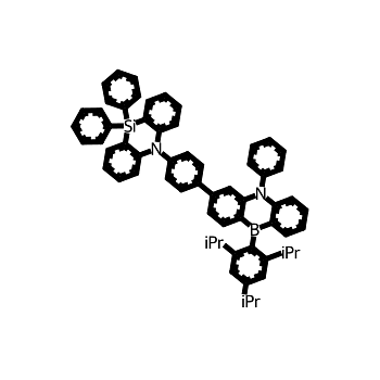 CC(C)c1cc(C(C)C)c(B2c3ccccc3N(c3ccccc3)c3cc(-c4ccc(N5c6ccccc6[Si](c6ccccc6)(c6ccccc6)c6ccccc65)cc4)ccc32)c(C(C)C)c1